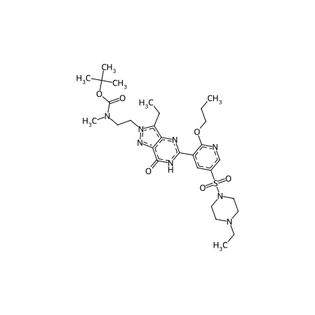 CCCOc1ncc(S(=O)(=O)N2CCN(CC)CC2)cc1-c1nc2c(CC)n(CCN(C)C(=O)OC(C)(C)C)nc2c(=O)[nH]1